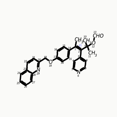 C/C(=C(/c1ccncc1)C(C)(C)OC=O)c1ccc(OCc2ccc3ccccc3n2)cc1